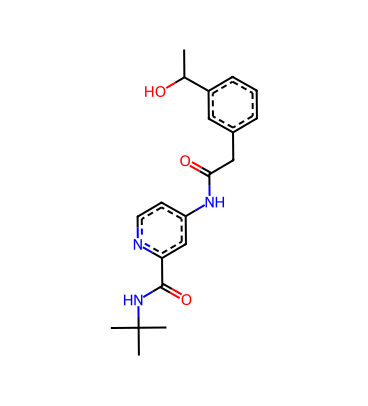 CC(O)c1cccc(CC(=O)Nc2ccnc(C(=O)NC(C)(C)C)c2)c1